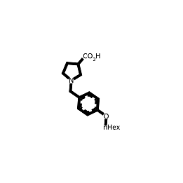 CCCCCCOc1ccc(CN2CCC(C(=O)O)C2)cc1